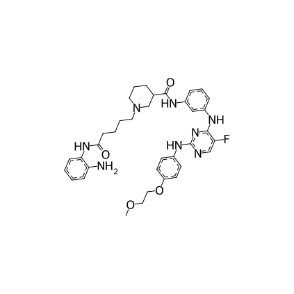 COCCOc1ccc(Nc2ncc(F)c(Nc3cccc(NC(=O)C4CCCN(CCCCC(=O)Nc5ccccc5N)C4)c3)n2)cc1